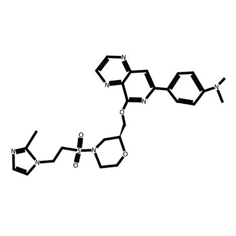 Cc1nccn1CCS(=O)(=O)N1CCO[C@H](COc2nc(-c3ccc(N(C)C)cc3)cc3nccnc23)C1